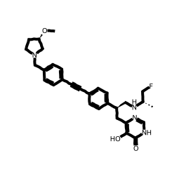 CO[C@H]1CCN(Cc2ccc(C#Cc3ccc([C@@H](CN[C@@H](C)CF)Cc4nc[nH]c(=O)c4O)cc3)cc2)C1